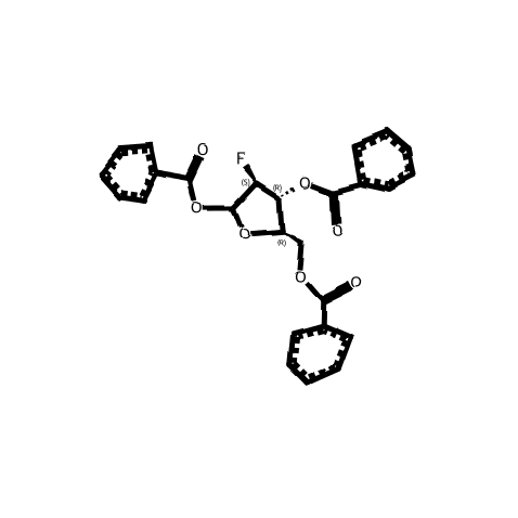 O=C(OC[C@H]1OC(OC(=O)c2ccccc2)[C@@H](F)[C@@H]1OC(=O)c1ccccc1)c1ccccc1